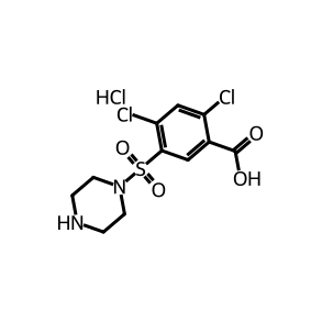 Cl.O=C(O)c1cc(S(=O)(=O)N2CCNCC2)c(Cl)cc1Cl